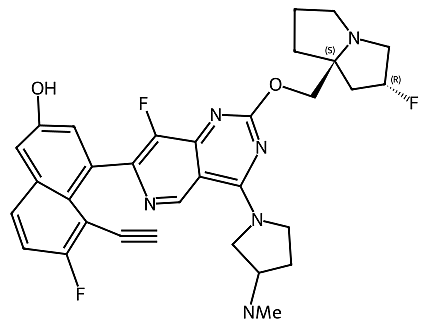 C#Cc1c(F)ccc2cc(O)cc(-c3ncc4c(N5CCC(NC)C5)nc(OC[C@@]56CCCN5C[C@H](F)C6)nc4c3F)c12